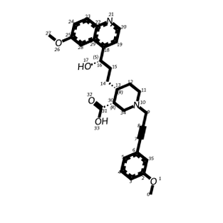 COc1cccc(C#CCN2CC[C@@H](CC[C@H](O)c3ccnc4ccc(OC)cc34)[C@@H](C(=O)O)C2)c1